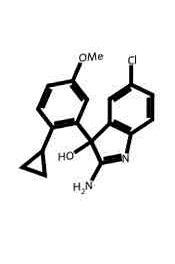 COc1ccc(C2CC2)c(C2(O)C(N)=Nc3ccc(Cl)cc32)c1